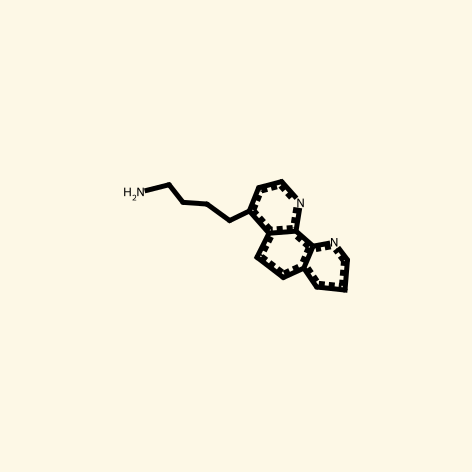 NCCCCc1ccnc2c1ccc1cccnc12